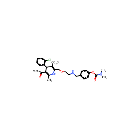 CCOC(=O)C1=C(COCCNCc2ccc(OC(=O)N(C)C)cc2)NC(C)=C(C(=O)OC)C1c1ccccc1Cl